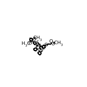 CCOC(=O)CCCOc1ccc2c(c1)C(=Cc1sc3cc(-c4c(OC)cccc4OC)ccc3[n+]1C)C=C(Sc1ccccc1)N2Cc1ccccc1